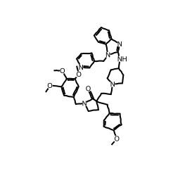 COc1ccc(CC2(CCN3CCC(Nc4nc5ccccc5n4Cc4cccnc4)CC3)CCN(Cc3cc(OC)c(OC)c(OC)c3)C2=O)cc1